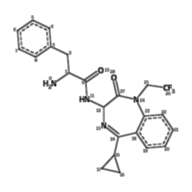 NC(Cc1ccccc1)C(=O)NC1N=C(C2CC2)c2ccccc2N(CC(F)(F)F)C1=O